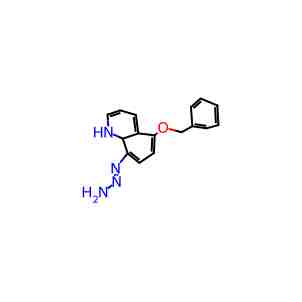 NN=NC1=CC=C(OCc2ccccc2)C2=CC=CNC12